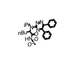 CCCCC(C(=O)NS(C)(=O)=O)N(c1nnc(-c2ccccc2)c(-c2ccccc2)n1)C(C)C